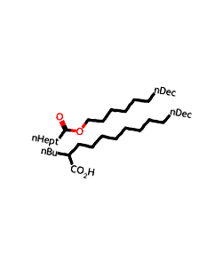 CCCCCCCCCCCCCCCCCCC(CCCC)C(=O)O.CCCCCCCCCCCCCCCCOC(=O)CCCCCCC